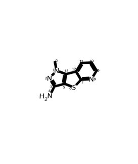 Cn1nc(N)c2sc3ncccc3c21